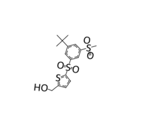 CC(C)(C)c1cc(S(C)(=O)=O)cc(S(=O)(=O)c2ccc(CO)s2)c1